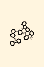 CC1(C)c2ccccc2-c2c(N(c3ccc(-c4cccc5ccc(-n6c7ccccc7c7ccccc76)cc45)cc3)c3cccc4c3C(C)(C)c3ccccc3-4)cccc21